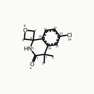 CC1(C)C(=O)NC2(COC2)c2ccc(Cl)cc21